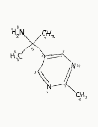 Cc1ncc(C(C)(C)N)cn1